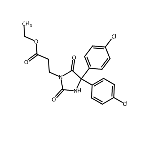 CCOC(=O)CCN1C(=O)NC(c2ccc(Cl)cc2)(c2ccc(Cl)cc2)C1=O